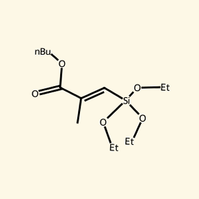 CCCCOC(=O)C(C)=C[Si](OCC)(OCC)OCC